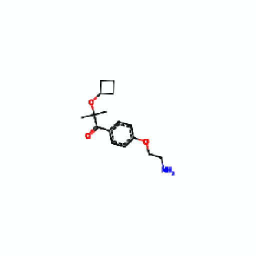 CC(C)(OC1CCC1)C(=O)c1ccc(OCCN)cc1